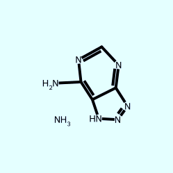 N.Nc1ncnc2nn[nH]c12